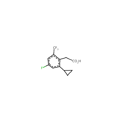 O=C(O)Cc1c(C2CC2)cc(F)cc1C(F)(F)F